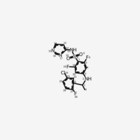 CC(Nc1cc(F)c(S(=O)(=O)Nc2ccncn2)c(F)c1)c1cc(Cl)ccc1F